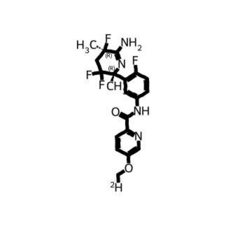 [2H]COc1ccc(C(=O)Nc2ccc(F)c([C@@]3(C)N=C(N)[C@](C)(F)CC3(F)F)c2)nc1